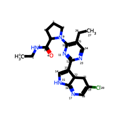 CCNC(=O)C1CCCN1c1nc(C2=CNC3=NC=C(Cl)CC23)ncc1CC